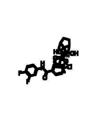 Cc1cccc([C@H](O)C2(O)C3CCC2CC(S(=O)(=O)c2cc(C(=O)Nc4ccc(F)c(F)c4)ccc2Cl)C3)n1